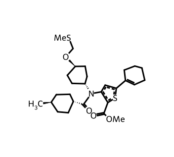 COC(=O)c1sc(C2=CCCCC2)cc1N(C(=O)[C@H]1CC[C@H](C)CC1)[C@H]1CC[C@H](OCSC)CC1